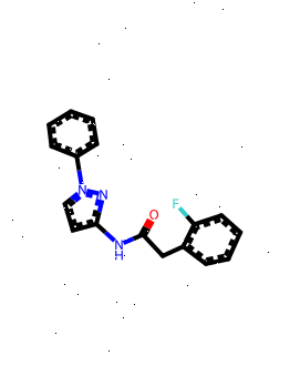 O=C(Cc1ccccc1F)Nc1ccn(-c2ccccc2)n1